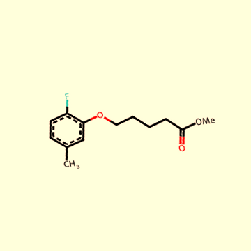 COC(=O)CCCCOc1cc(C)ccc1F